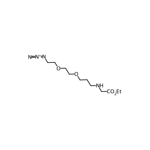 CCOC(=O)CNCCCOCCOCCN=[N+]=[N-]